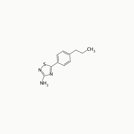 CCCc1ccc(-c2nc(N)ns2)cc1